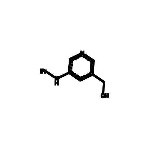 CC(C)Nc1cncc(CO)c1